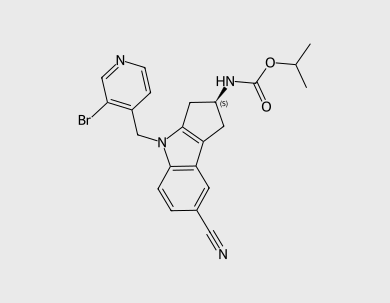 CC(C)OC(=O)N[C@H]1Cc2c(n(Cc3ccncc3Br)c3ccc(C#N)cc23)C1